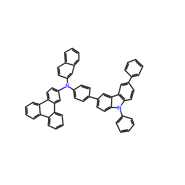 c1ccc(-c2ccc3c(c2)c2cc(-c4ccc(N(c5ccc6ccccc6c5)c5ccc6c7ccccc7c7ccccc7c6c5)cc4)ccc2n3-c2ccccc2)cc1